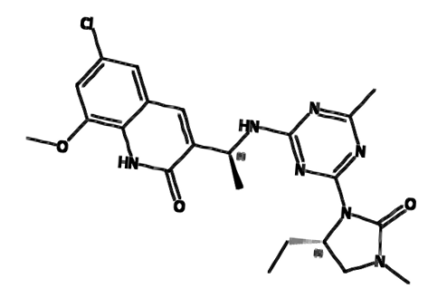 CC[C@H]1CN(C)C(=O)N1c1nc(C)nc(N[C@@H](C)c2cc3cc(Cl)cc(OC)c3[nH]c2=O)n1